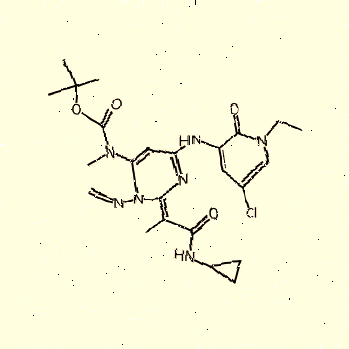 C=NN1C(N(C)C(=O)OC(C)(C)C)=CC(Nc2cc(Cl)cn(CC)c2=O)=N/C1=C(/C)C(=O)NC1CC1